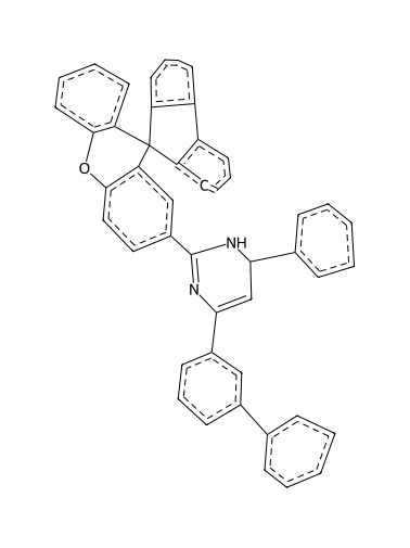 C1=C(c2cccc(-c3ccccc3)c2)N=C(c2ccc3c(c2)C2(c4ccccc4O3)c3ccccc3-c3ccccc32)NC1c1ccccc1